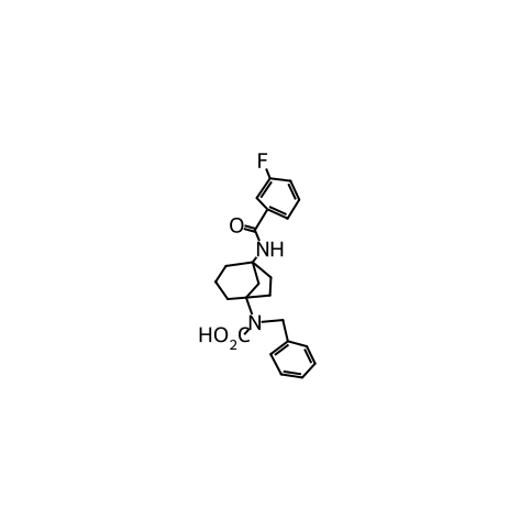 O=C(NC12CCCC(N(Cc3ccccc3)C(=O)O)(CC1)C2)c1cccc(F)c1